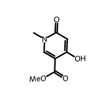 COC(=O)c1cn(C)c(=O)cc1O